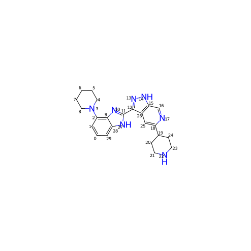 c1cc(N2CCCCC2)c2nc(-c3n[nH]c4cnc(C5CCNCC5)cc34)[nH]c2c1